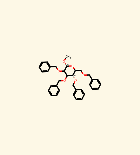 CO[C@@H]1OC(COCc2ccccc2)[C@H](OCc2ccccc2)C(OCc2ccccc2)C1OCc1ccccc1